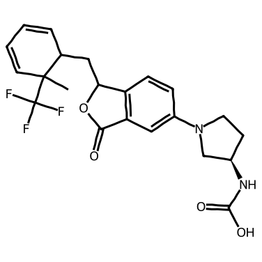 CC1(C(F)(F)F)C=CC=CC1CC1OC(=O)c2cc(N3CC[C@@H](NC(=O)O)C3)ccc21